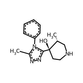 Cc1nnc([C@@]2(O)CCNC[C@H]2C)n1-c1ccccc1